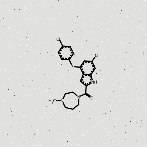 CN1CCCN(C(=O)c2cc3c(Sc4ccc(Cl)cc4)cc(Cl)cc3[nH]2)CC1